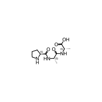 C[C@H](NC(=O)[C@H](C)NC(=O)[C@@H]1CCCN1)C(=O)O